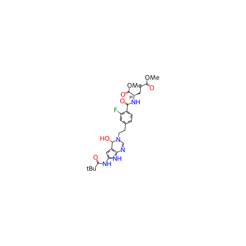 COC(=O)CC[C@@H](NC(=O)c1ccc(CCN2C=Nc3[nH]c(NC(=O)C(C)(C)C)cc3C2O)cc1F)C(=O)OC